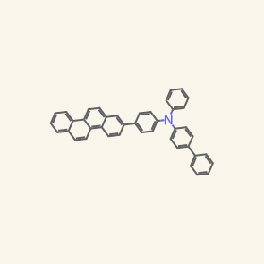 c1ccc(-c2ccc(N(c3ccccc3)c3ccc(-c4ccc5c(ccc6c7ccccc7ccc56)c4)cc3)cc2)cc1